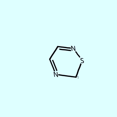 [C]1N=CC=NS1